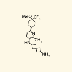 COC1(C(F)(F)F)CCN(c2ccc(NC3CC4(CC(N)C4)C3)c(C)n2)CC1